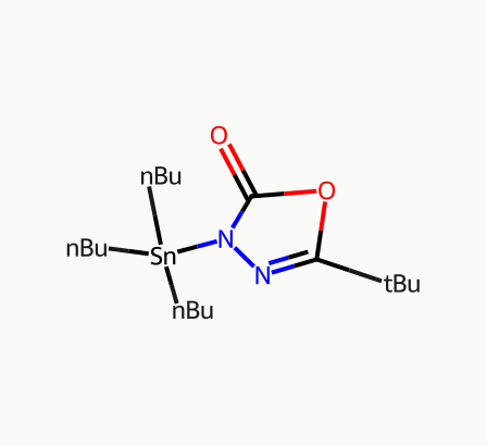 CCC[CH2][Sn]([CH2]CCC)([CH2]CCC)[n]1nc(C(C)(C)C)oc1=O